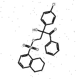 O=C(c1ccccc1)C(O)(COS(=O)(=O)c1cccc2c1CCCC2)c1ccc(Cl)cc1